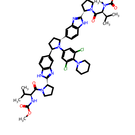 COC(=O)N[C@H](C(=O)N1CCC[C@H]1c1nc2cc([C@H]3CC[C@H](c4ccc5[nH]c([C@@H]6CCCN6C(=O)[C@H](C(C)C)N(C)C(=O)O)nc5c4)N3c3cc(Cl)c(N4CCCCC4)c(Cl)c3)ccc2[nH]1)C(C)C